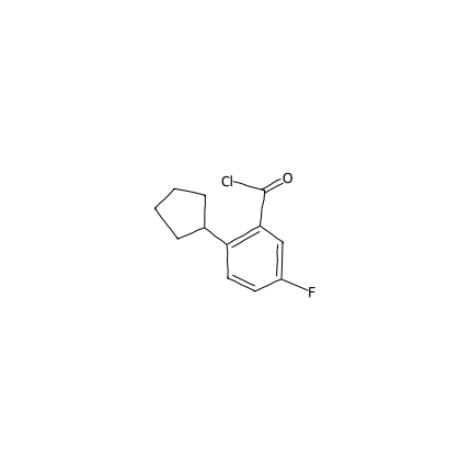 O=C(Cl)c1cc(F)ccc1C1CCCC1